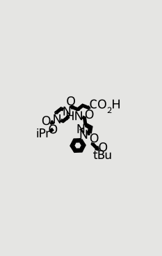 CC(C)OC(=O)N1CCN(C(=O)C(CCC(=O)O)NC(=O)c2cc(OCC(=O)C(C)(C)C)n(-c3ccccc3)n2)CC1